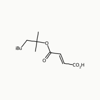 CCC(C)CC(C)(C)OC(=O)C=CC(=O)O